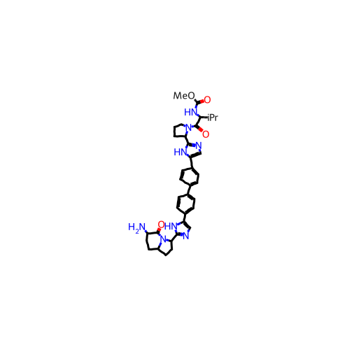 COC(=O)NC(C(=O)N1CCCC1c1ncc(-c2ccc(-c3ccc(-c4cnc(C5CCC6CCC(N)C(=O)N65)[nH]4)cc3)cc2)[nH]1)C(C)C